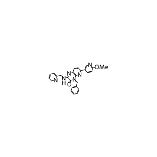 COc1ccc(-c2ccc3nc(NCc4ccccn4)c(=O)n(Cc4ccccc4)c3n2)cn1